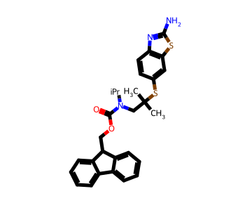 CC(C)N(CC(C)(C)Sc1ccc2nc(N)sc2c1)C(=O)OCC1c2ccccc2-c2ccccc21